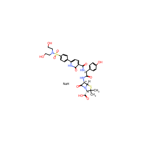 CC1(C)S[C@@H]2[C@H](NC(=O)[C@H](NC(=O)c3ccc(-c4ccc(S(=O)(=O)N(CCO)CCO)cc4)[nH]c3=O)c3ccc(O)cc3)C(=O)N2[C@H]1C(=O)O.[NaH]